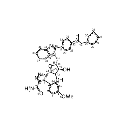 COc1ccc(-c2c(C(N)=O)nnn2[C@@H]2O[C@H](Cn3c(-c4ccc(NCc5ccccc5)cc4)nc4ccccc43)[C@@H](O)C2O)cc1